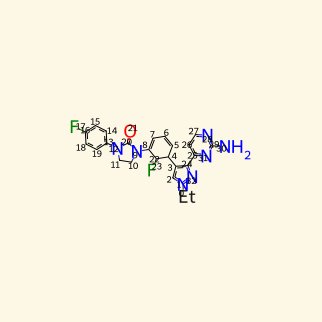 CCn1cc(C2C=CC=C(N3CCN(c4ccc(F)cc4)C3=O)C2F)c(-c2ccnc(N)n2)n1